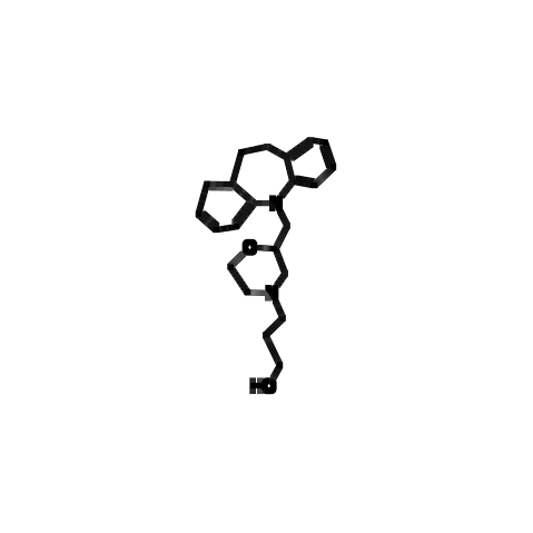 OCCCN1CCOC(CN2c3ccccc3CCc3ccccc32)C1